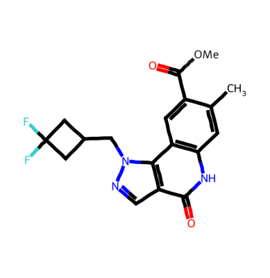 COC(=O)c1cc2c(cc1C)[nH]c(=O)c1cnn(CC3CC(F)(F)C3)c12